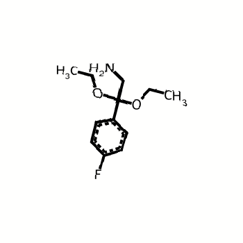 CCOC(CN)(OCC)c1ccc(F)cc1